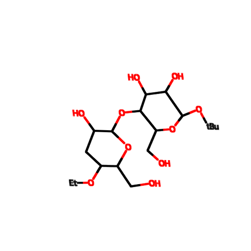 CCOC1CC(O)C(OC2C(CO)OC(OC(C)(C)C)C(O)C2O)OC1CO